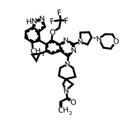 C=CC(=O)N1CC2(CCN(c3nc(N4CC[C@H](N5CCOCC5)C4)nc4c(OCC(F)(F)F)c(-c5c(C)ccc6[nH]ncc56)c(C5CC5)cc34)CC2)C1